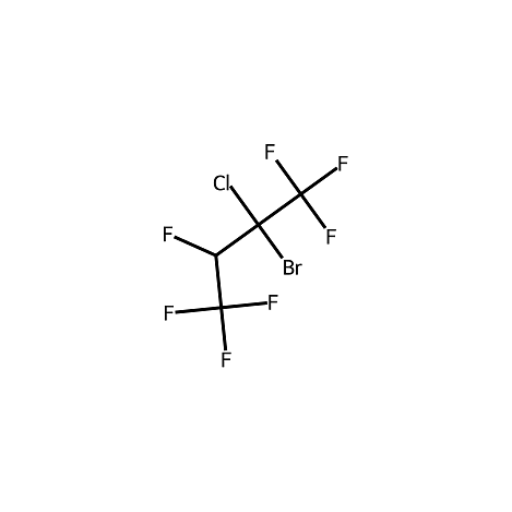 FC(C(F)(F)F)C(Cl)(Br)C(F)(F)F